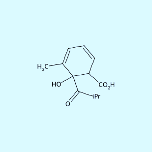 CC1=CC=CC(C(=O)O)C1(O)C(=O)C(C)C